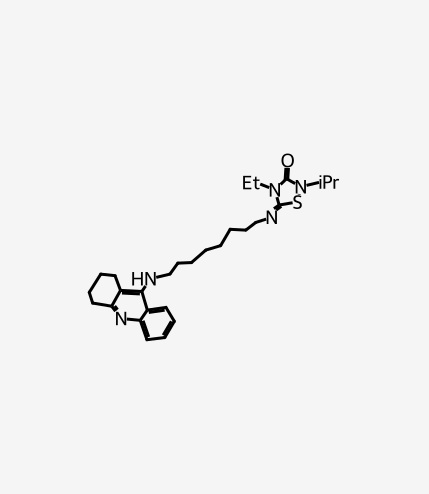 CCn1c(=NCCCCCCCCNc2c3c(nc4ccccc24)CCCC3)sn(C(C)C)c1=O